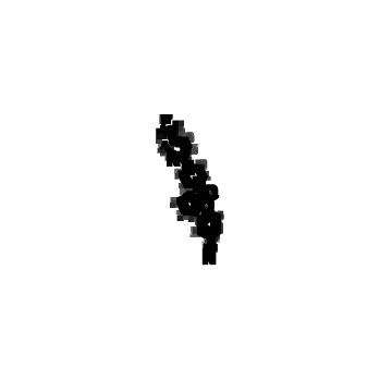 N#Cc1ccc(OC2(C(=O)N3CCN(c4ccc(C(F)(F)F)nn4)CC3)CCCC2)cc1